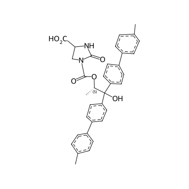 Cc1ccc(-c2ccc(C(O)(c3ccc(-c4ccc(C)cc4)cc3)[C@H](C)OC(=O)N3CC(C(=O)O)NC3=O)cc2)cc1